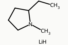 CCC1CCCN1C.[LiH]